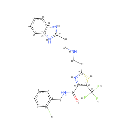 O=C(NCc1ccccc1F)c1nc(CCNCCc2nc3ccccc3[nH]2)sc1C(F)(F)F